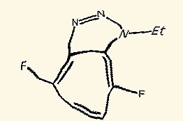 CCn1nnc2c(F)ccc(F)c21